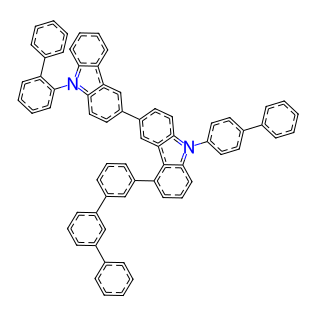 c1ccc(-c2ccc(-n3c4ccc(-c5ccc6c(c5)c5ccccc5n6-c5ccccc5-c5ccccc5)cc4c4c(-c5cccc(-c6cccc(-c7ccccc7)c6)c5)cccc43)cc2)cc1